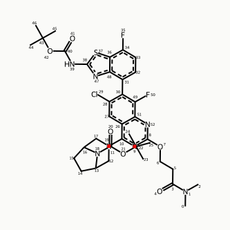 CN(C)C(=O)CCOc1nc(N2CC3CCC(C2)N3C(=O)OC(C)(C)C)c2cc(Cl)c(-c3ccc(F)c4sc(NC(=O)OC(C)(C)C)nc34)c(F)c2n1